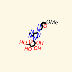 COc1ccc(CNc2ncn(C3O[C@H](CO)[C@@H](O)[C@H](O)[C@H]3O)c3ncnc2-3)o1